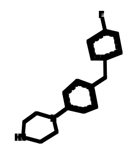 Fc1ccc(Cc2ccc(N3CCNCC3)cc2)cc1